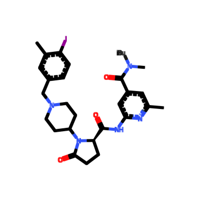 CCC(C)N(C)C(=O)c1cc(C)nc(NC(=O)[C@H]2CCC(=O)N2C2CCN(Cc3ccc(I)c(C)c3)CC2)c1